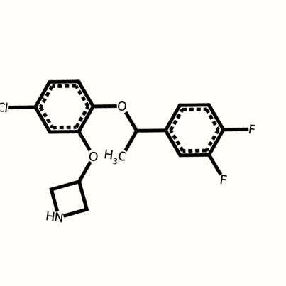 CC(Oc1ccc(Cl)cc1OC1CNC1)c1ccc(F)c(F)c1